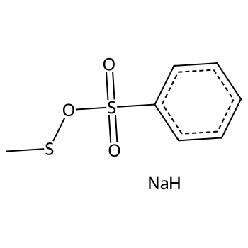 CSOS(=O)(=O)c1ccccc1.[NaH]